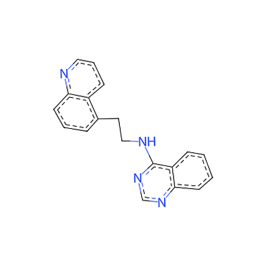 c1cc(CCNc2ncnc3ccccc23)c2cccnc2c1